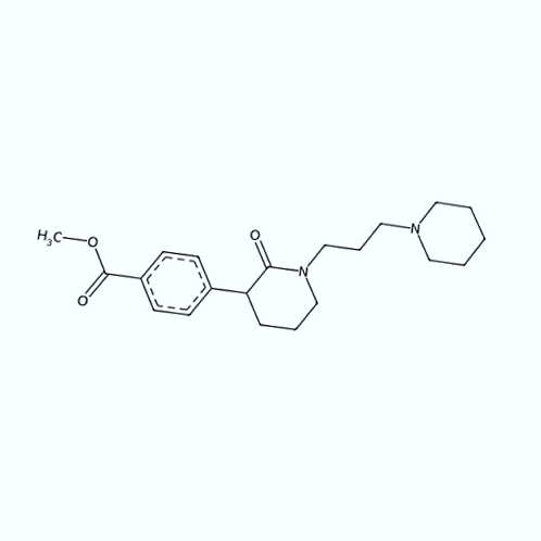 COC(=O)c1ccc(C2CCCN(CCCN3CCCCC3)C2=O)cc1